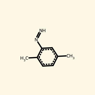 Cc1ccc(C)c(N=N)c1